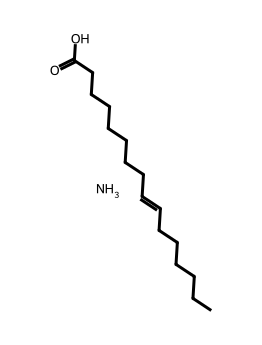 CCCCCCC=CCCCCCCCC(=O)O.N